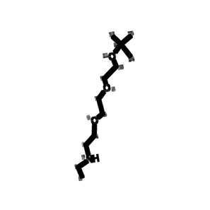 CCNCCOCCOCCOC(C)(C)C